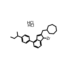 CCC(C)c1ccc(-c2cccc3c2C=C(CC2CCCCCC2)[CH]3[Zr])cc1.Cl.Cl